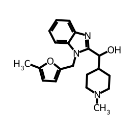 Cc1ccc(Cn2c(C(O)C3CCN(C)CC3)nc3ccccc32)o1